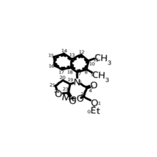 CCOC(OC)C(=O)N(c1c(C)c(C)cc2ccccc12)C1CCOC1=O